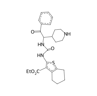 CCOC(=O)c1c(NC(=O)NC(C(=O)c2ccccc2)C2CCNCC2)sc2c1CCCC2